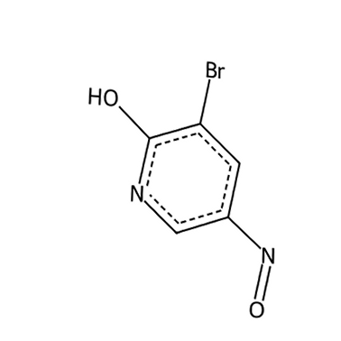 O=Nc1cnc(O)c(Br)c1